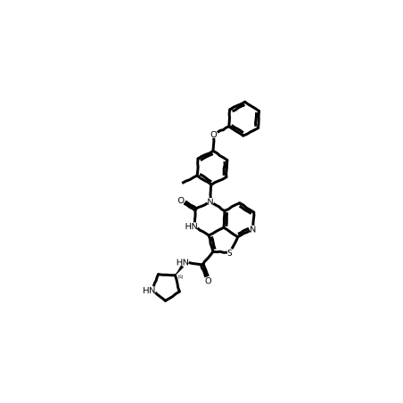 Cc1cc(Oc2ccccc2)ccc1N1C(=O)Nc2c(C(=O)N[C@H]3CCNC3)sc3nccc1c23